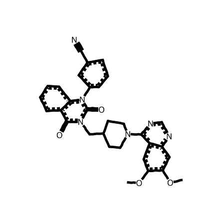 COc1cc2ncnc(N3CCC(Cn4c(=O)c5ccccc5n(-c5cccc(C#N)c5)c4=O)CC3)c2cc1OC